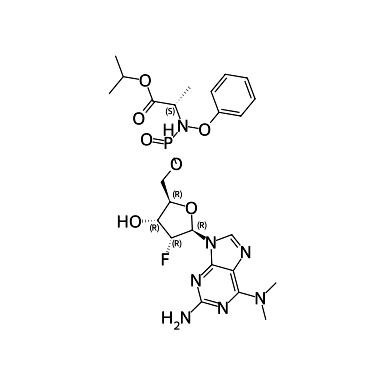 CC(C)OC(=O)[C@H](C)N(Oc1ccccc1)[PH](=O)OC[C@H]1O[C@@H](n2cnc3c(N(C)C)nc(N)nc32)[C@H](F)[C@@H]1O